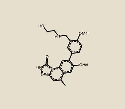 COc1ccc(-c2cc3c(cc2OC)c(C)cc2n[nH]c(=O)n23)cc1CNCCO